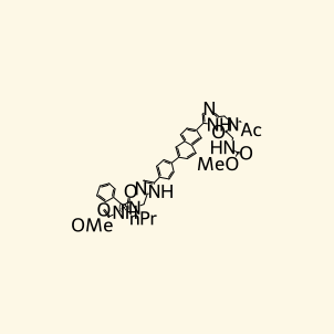 CCCN(Cc1ncc(-c2ccc(-c3ccc4cc(-c5cnc(CN(CC(C)=O)C(=O)CNC(=O)OC)[nH]5)ccc4c3)cc2)[nH]1)C(=O)[C@H](NC(=O)OC)c1ccccc1